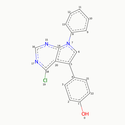 Oc1ccc(-c2cn(-c3ccccc3)c3ncnc(Cl)c23)cc1